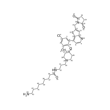 Cc1cc(Cl)cc(-c2ccnc3cc(CN4C(=O)CCC4=O)sc23)c1OC1CCN(CCCNC(=O)CCCCCCCCN)CC1